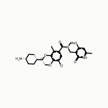 CSc1cc(C)[nH]c(=O)c1CN(C)C(=O)c1cc(Cl)c2c(c1C)O[C@@H]([C@H]1CC[C@@H](N)CC1)CO2